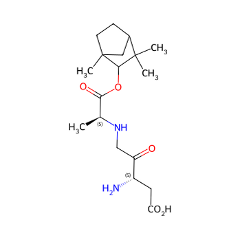 C[C@H](NCC(=O)[C@@H](N)CC(=O)O)C(=O)OC1C2(C)CCC(C2)C1(C)C